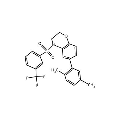 Cc1ccc(C)c(-c2ccc3c(c2)N(S(=O)(=O)c2cccc(C(F)(F)F)c2)CCO3)c1